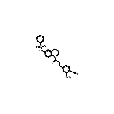 Cc1cc(CCC(=O)N2CCCc3cc(NS(=O)(=O)c4ccccc4)ccc32)ccc1C#N